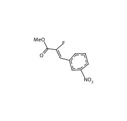 COC(=O)C(F)=Cc1cccc([N+](=O)[O-])c1